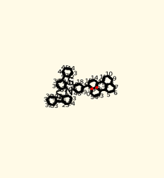 c1ccc(-c2cccc3cccc(-c4ccc(-c5ccc(N(c6cccc7c6sc6ccccc67)c6cccc7c6sc6ccccc67)cc5)cc4)c23)cc1